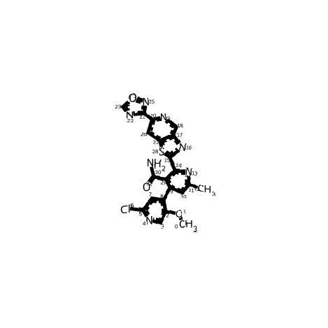 COc1cnc(Cl)cc1-c1cc(C)nc(-c2nc3cnc(-c4ncon4)cc3s2)c1C(N)=O